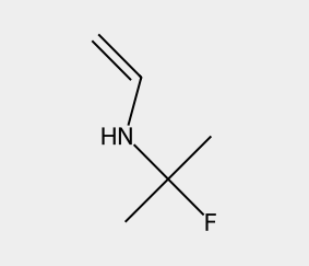 C=CNC(C)(C)F